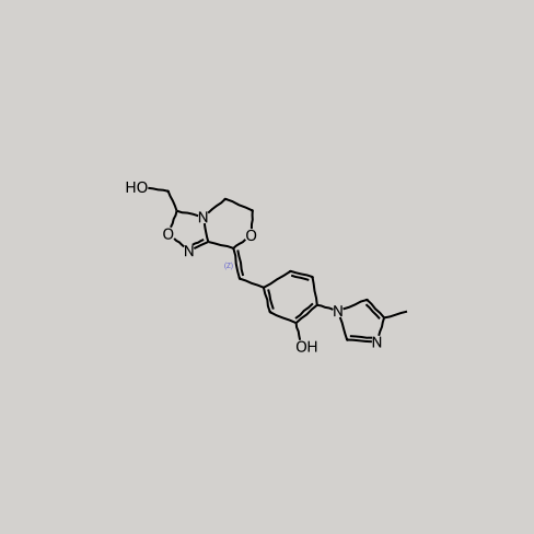 Cc1cn(-c2ccc(/C=C3\OCCN4C3=NOC4CO)cc2O)cn1